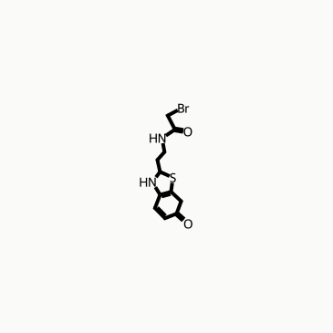 O=C1C=CC2=C(C1)SC(CCNC(=O)CBr)N2